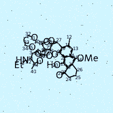 CCN[C@@H]1CC[C@H](O[C@@]23Oc4c(c(C)cc5c(OC)c6c(c(O)c45)C(=O)CCC6)C4O[C@](C5OCCCO5)(OC42)[C@]32CO2)O[C@H]1C